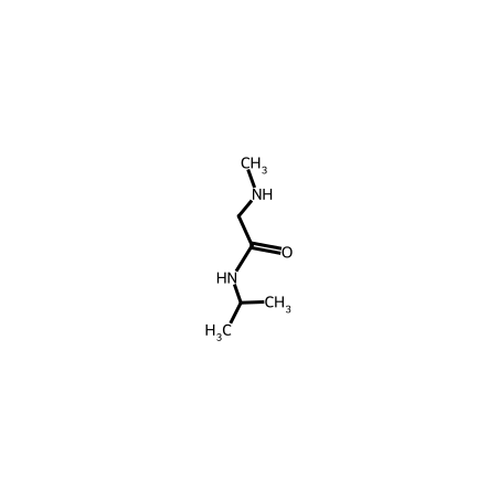 CNCC(=O)NC(C)C